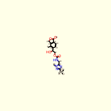 Cc1c(C(O)COC(=O)NCc2n[c]([Sn]([CH3])([CH3])[CH3])nn2C)ccc2c1COC2=O